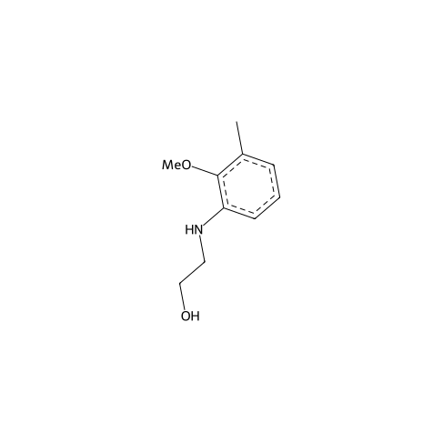 COc1c(C)cccc1NCCO